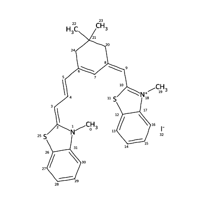 CN1C(=CC=CC2=CC(=Cc3sc4ccccc4[n+]3C)CC(C)(C)C2)Sc2ccccc21.[I-]